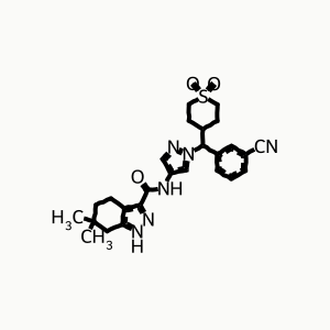 CC1(C)CCc2c(C(=O)Nc3cnn(C(c4cccc(C#N)c4)C4CCS(=O)(=O)CC4)c3)n[nH]c2C1